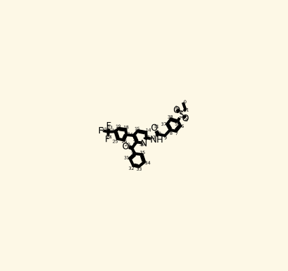 CCS(=O)(=O)c1ccc(CC(=O)Nc2ccc(-c3ccc(C(F)(F)F)cc3)c(C(=O)c3ccccc3)n2)cc1